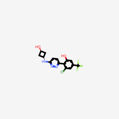 Oc1cc(C(F)(F)F)cc(Cl)c1-c1ccc(N[C@H]2C[C@H](O)C2)nn1